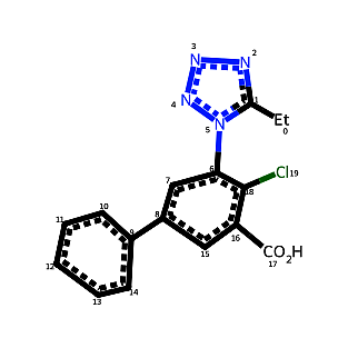 CCc1nnnn1-c1cc(-c2ccccc2)cc(C(=O)O)c1Cl